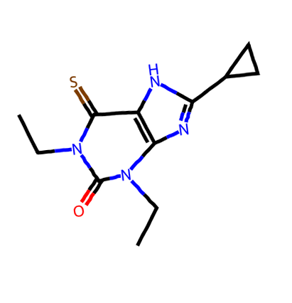 CCn1c(=S)c2[nH]c(C3CC3)nc2n(CC)c1=O